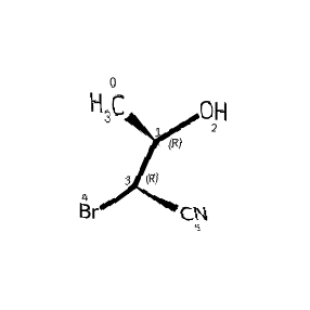 C[C@@H](O)[C@H](Br)C#N